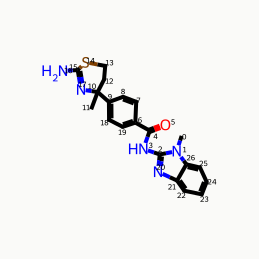 Cn1c(NC(=O)c2ccc(C3(C)CCSC(N)=N3)cc2)nc2ccccc21